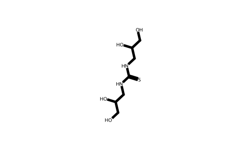 OCC(O)CNC(=S)NCC(O)CO